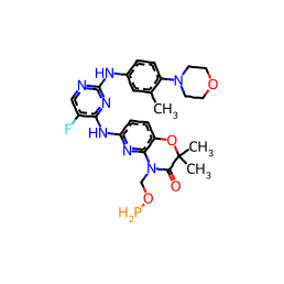 Cc1cc(Nc2ncc(F)c(Nc3ccc4c(n3)N(COP)C(=O)C(C)(C)O4)n2)ccc1N1CCOCC1